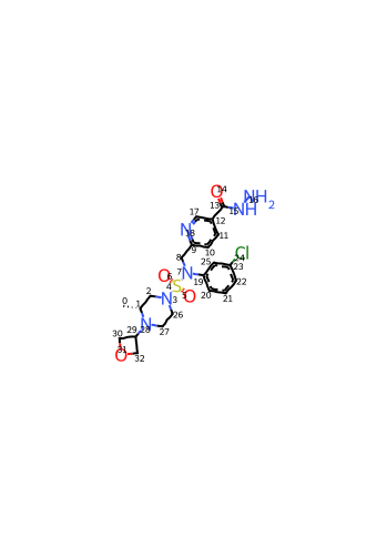 C[C@@H]1CN(S(=O)(=O)N(Cc2ccc(C(=O)NN)cn2)c2cccc(Cl)c2)CCN1C1COC1